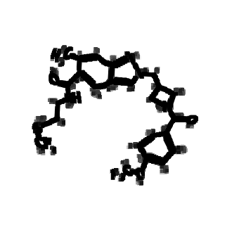 Cc1cc2nn(CC3CN(C(=O)c4ccc(OC(F)(F)F)cc4)C3)cc2cc1C(=O)NCCSC(F)(F)F